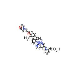 Cc1c(Nc2nccc3cc(CN4CCCCC4CC(=O)O)cnc23)cccc1-c1cccc(OCCCN2CCOCC2)c1C